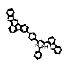 C1=C(c2cccc3c2sc2ccccc23)NC(c2ccccc2)N=C1c1ccc(-c2ccc3c(c2)-c2cccc4c2c-3cc2c3ccccc3oc42)cc1